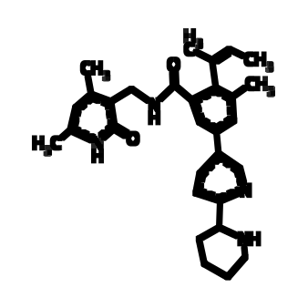 C/C=C(/C)c1c(C)cc(-c2ccc(C3CCCCN3)nc2)cc1C(=O)NCc1c(C)cc(C)[nH]c1=O